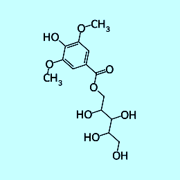 COc1cc(C(=O)OCC(O)C(O)C(O)CO)cc(OC)c1O